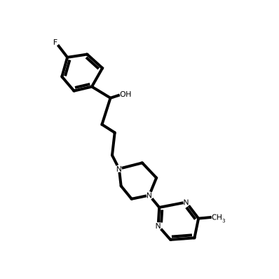 Cc1ccnc(N2CCN(CCCC(O)c3ccc(F)cc3)CC2)n1